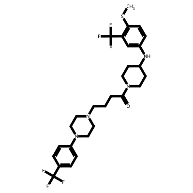 CSc1ccc(NC2CCN(C(=O)CCCN3CCN(c4ccc(C(F)(F)F)cc4)CC3)CC2)cc1C(F)(F)F